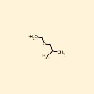 [CH2]COC[C](C)C